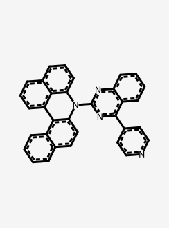 c1ccc2c3c(ccc2c1)N(c1nc(-c2ccncc2)c2ccccc2n1)c1cccc2cccc-3c12